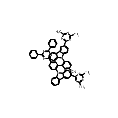 Cc1nc(C)nc(-c2ccc3c(c2)c2ccccc2n3-c2ccc(C#N)cc2-c2cc(-c3nc(-c4ccccc4)nc(-c4ccccc4)n3)ccc2-n2c3ccccc3c3cc(-c4nc(C)nc(C)n4)ccc32)n1